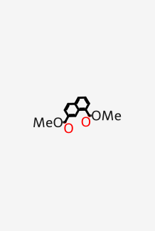 COC(=O)c1ccc2cccc(C(=O)OC)c2c1